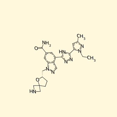 CCn1nc(C)cc1-c1nnc(-c2cc(C(N)=O)cc3c2cnn3C[C@@H]2CCC3(CNC3)O2)[nH]1